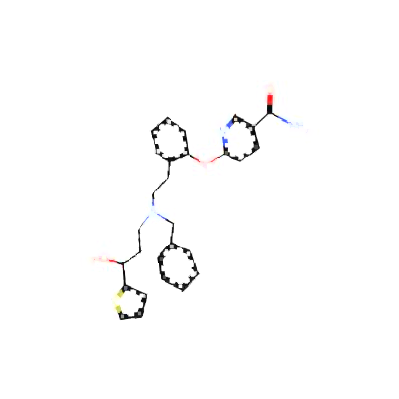 NC(=O)c1ccc(Oc2ccccc2CCN(CCC(O)c2cccs2)Cc2ccccc2)nc1